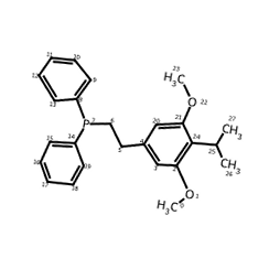 COc1cc(CCP(c2ccccc2)c2ccccc2)cc(OC)c1C(C)C